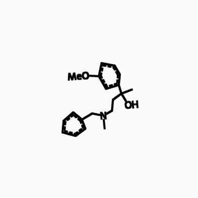 COc1cccc(C(C)(O)CCN(C)Cc2ccccc2)c1